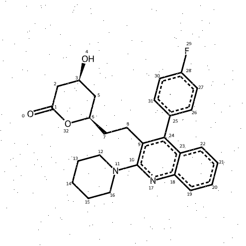 O=C1C[C@@H](O)C[C@@H](CCc2c(N3CCCCC3)nc3ccccc3c2-c2ccc(F)cc2)O1